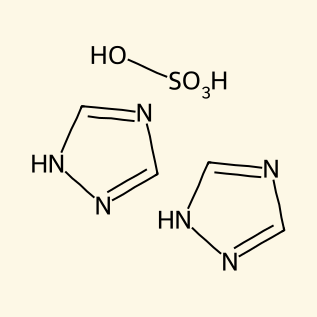 O=S(=O)(O)O.c1nc[nH]n1.c1nc[nH]n1